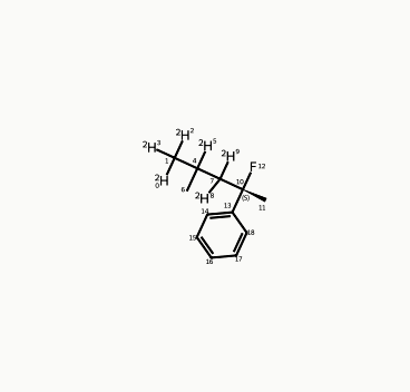 [2H]C([2H])([2H])C([2H])(C)C([2H])([2H])[C@](C)(F)c1ccccc1